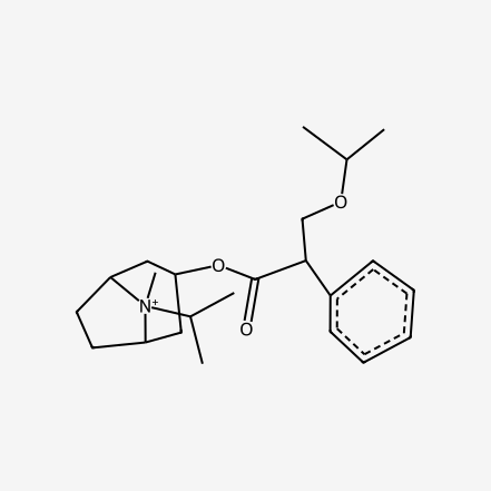 CC(C)OCC(C(=O)OC1CC2CCC(C1)[N+]2(C)C(C)C)c1ccccc1